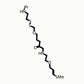 CS/C=C/COCCNCC(=O)CCCOCSSCCNC(C)C